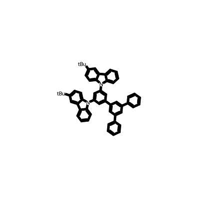 CC(C)(C)c1ccc2c(c1)c1ccccc1n2-c1cc(-c2cc(-c3ccccc3)cc(-c3ccccc3)c2)cc(-n2c3ccccc3c3cc(C(C)(C)C)ccc32)c1